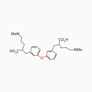 CNCCCC(Cc1cccc(Oc2cccc(CC(CCCNC)C(=O)O)c2)c1)C(=O)O